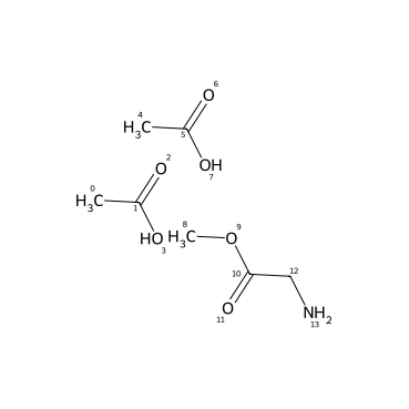 CC(=O)O.CC(=O)O.COC(=O)CN